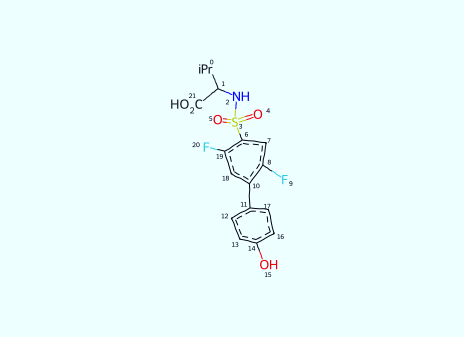 CC(C)C(NS(=O)(=O)c1cc(F)c(-c2ccc(O)cc2)cc1F)C(=O)O